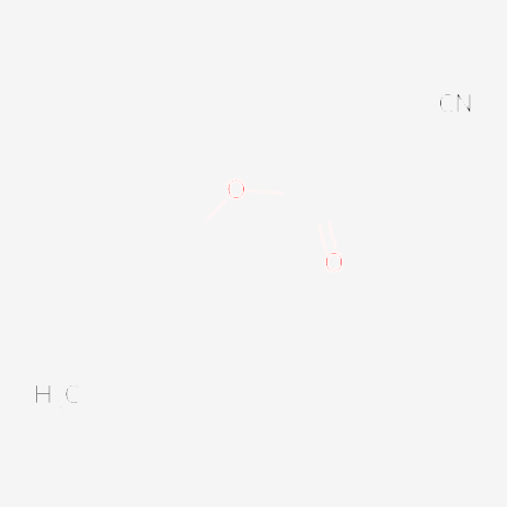 Cc1ccc(OC(=O)C=CC#N)cc1